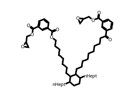 CCCCCCCC1CCC(CCCCCCC)C(CCCCCCCCOC(=O)c2cccc(C(=O)OCC3CO3)c2)C1CCCCCCCCCC(=O)c1cccc(C(=O)OCC2CO2)c1